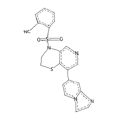 N#Cc1ccccc1S(=O)(=O)N1CCSc2c(-c3ccn4ccnc4c3)cncc21